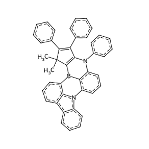 CC1(C)C2=C(C(c3ccccc3)=C1c1ccccc1)N(c1ccccc1)c1cccc3c1B2c1cccc2c4ccccc4n-3c12